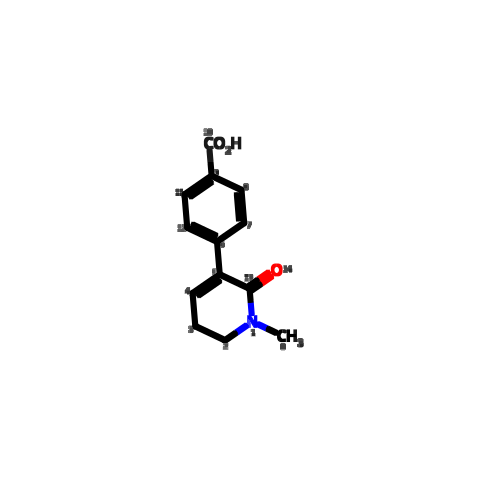 CN1CCC=C(c2ccc(C(=O)O)cc2)C1=O